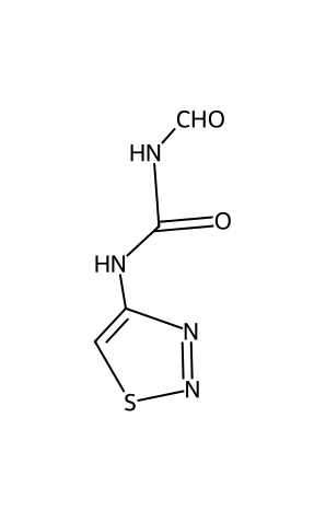 O=CNC(=O)Nc1csnn1